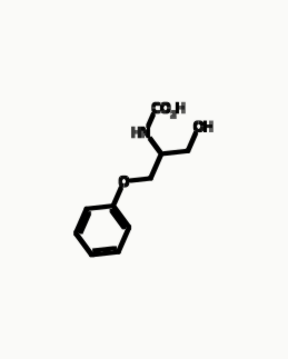 O=C(O)NC(CO)COc1ccccc1